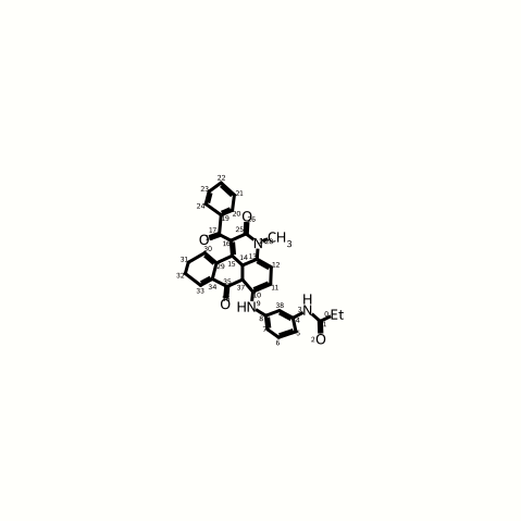 CCC(=O)Nc1cccc(NC2=CC=C3C4C(=C(C(=O)c5ccccc5)C(=O)N3C)C3=CCCC=C3C(=O)C24)c1